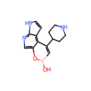 OB1C=C(C2CCNCC2)c2c(cnc3[nH]ccc23)O1